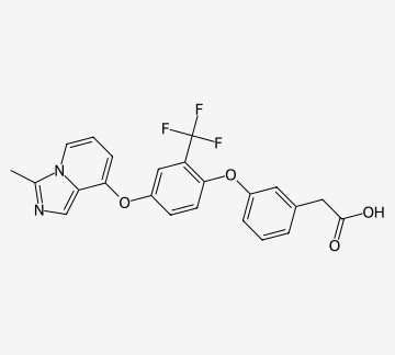 Cc1ncc2c(Oc3ccc(Oc4cccc(CC(=O)O)c4)c(C(F)(F)F)c3)cccn12